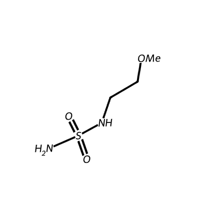 COCCNS(N)(=O)=O